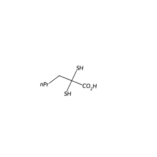 CCCCC(S)(S)C(=O)O